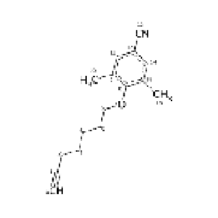 C#CCCCCCOc1c(C)cc(C#N)cc1C